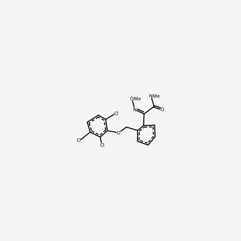 CNC(=O)C(=NOC)c1ccccc1COc1c(Cl)ccc(Cl)c1Cl